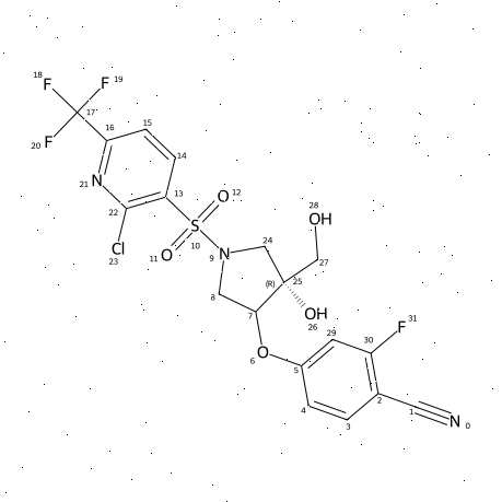 N#Cc1ccc(OC2CN(S(=O)(=O)c3ccc(C(F)(F)F)nc3Cl)C[C@@]2(O)CO)cc1F